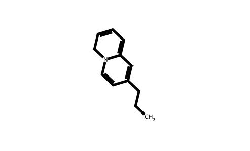 CCCC1=[C]C2=CC=CCN2C=C1